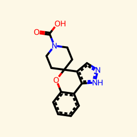 O=C(O)N1CCC2(CC1)Oc1ccccc1-c1[nH]ncc12